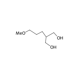 COCCCC(CO)CO